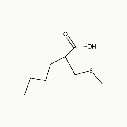 CCCCC(CSC)C(=O)O